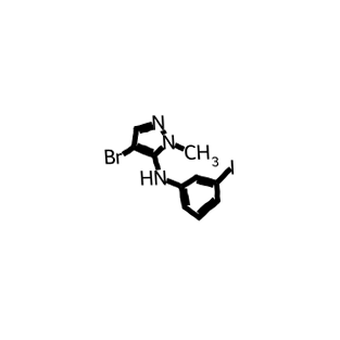 Cn1ncc(Br)c1Nc1cccc(I)c1